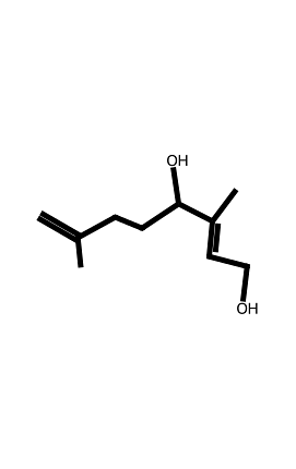 C=C(C)CCC(O)C(C)=CCO